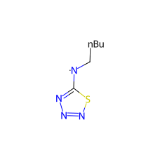 CCCCC[N]c1nnns1